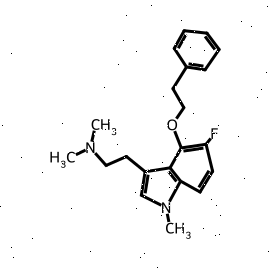 CN(C)CCc1cn(C)c2ccc(F)c(OCCc3ccccc3)c12